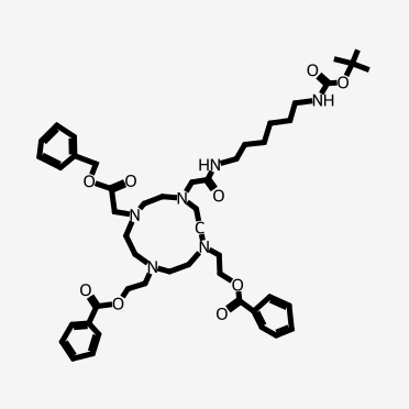 CC(C)(C)OC(=O)NCCCCCCNC(=O)CN1CCN(CCOC(=O)c2ccccc2)CCN(CCOC(=O)c2ccccc2)CCN(CC(=O)OCc2ccccc2)CC1